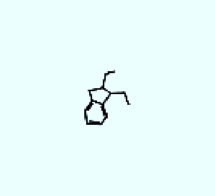 CCC1Cc2ccccc2C1CC